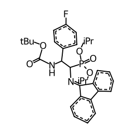 CC(C)OP(=O)(OC(C)C)C(N=C1c2ccccc2-c2ccccc21)C(NC(=O)OC(C)(C)C)c1ccc(F)cc1